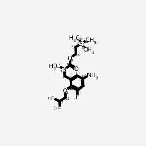 CN(Cc1cc(N)cc(F)c1OCC(F)F)C(=O)OCC[Si](C)(C)C